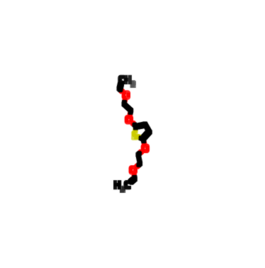 C=COCCOc1ccc(OCCOC=C)s1